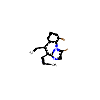 C=Cc1c(/C=C\C)c2ncc(Br)n2c2c(Br)cccc12